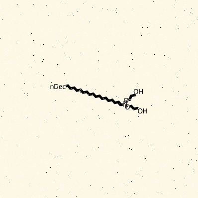 CCCCCCCCCCCCCCCCCCCCCCCCCCC=CN(OCCCO)OCCCO